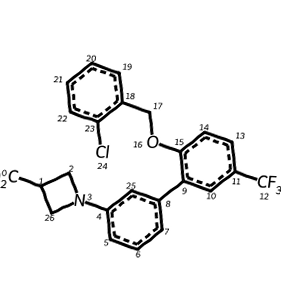 O=C(O)C1CN(c2cccc(-c3cc(C(F)(F)F)ccc3OCc3ccccc3Cl)c2)C1